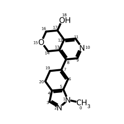 Cn1ncc2c1C=C(c1cncc3c1COCC3O)CC2